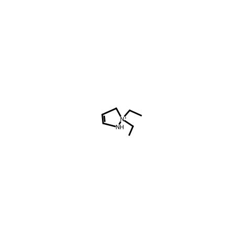 CC[N+]1(CC)CC=CN1